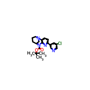 CC(C)(C)OC(=O)N1c2nc(-c3cncc(Cl)c3)ccc2N2CCCC1C2